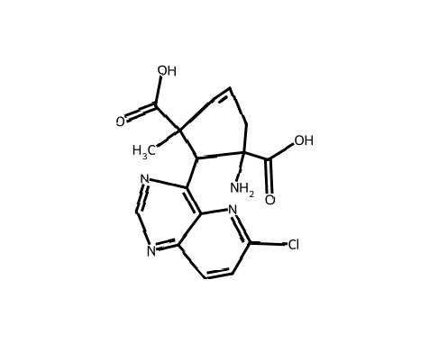 CC1(C(=O)O)C=CCC(N)(C(=O)O)C1c1ncnc2ccc(Cl)nc12